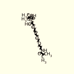 CC(C)C(=O)NCCCOCCOCCOCCOCC(O)COP(=O)(O)C(C)C